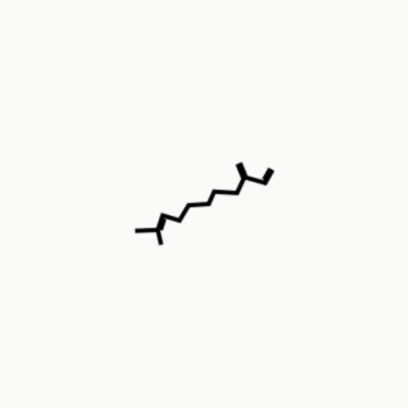 C=CC(=C)CCCCCC=C(C)C